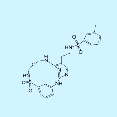 Cc1cccc(S(=O)(=O)NCCc2cnc3nc2NCCCNS(=O)(=O)c2cccc(c2)N3)c1